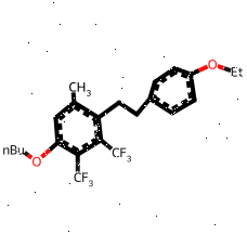 CCCCOc1cc(C)c(CCc2ccc(OCC)cc2)c(C(F)(F)F)c1C(F)(F)F